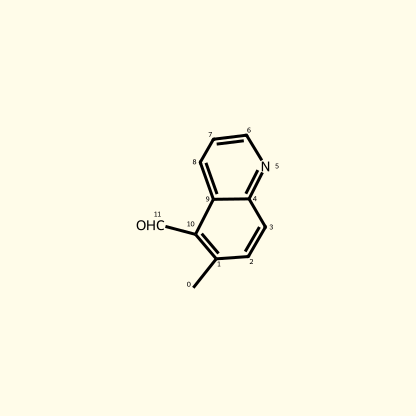 Cc1ccc2ncccc2c1C=O